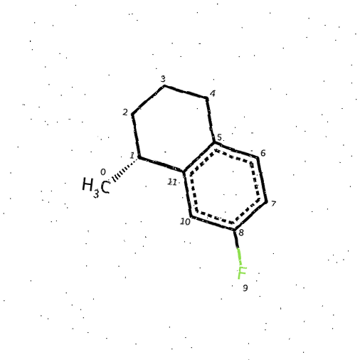 C[C@@H]1CCCc2ccc(F)cc21